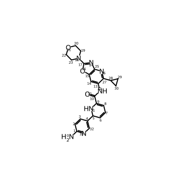 Nc1ccc(C2C=CC=C(C(=O)Nc3cc4oc(N5CCOCC5)nc4nc3C3CC3)N2)cn1